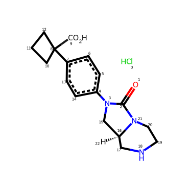 Cl.O=C1N(c2ccc(C3(C(=O)O)CCC3)cc2)C[C@@H]2CNCCN12